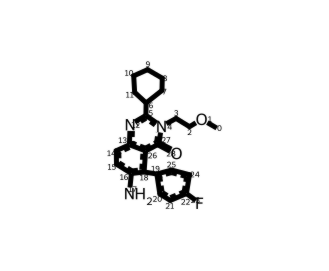 COCCn1c(C2CCCCC2)nc2ccc(N)c(-c3ccc(F)cc3)c2c1=O